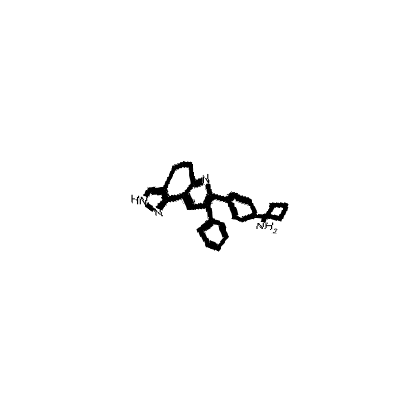 NC1(c2ccc(-c3nc4c(cc3-c3ccccc3)-c3n[nH]cc3CCC4)cc2)CCC1